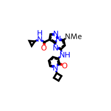 CNc1cc(Nc2cccn(C3CCC3)c2=O)nc2c(C(=O)NC3CC3)cnn12